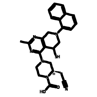 Cc1nc2c(c(N3CCN(C(=O)O)[C@@H](CC#N)C3)n1)C(S)CN(c1cccc3ccccc13)C2